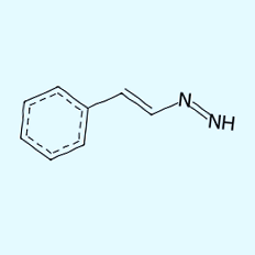 N=NC=Cc1ccccc1